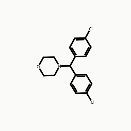 Clc1ccc(C(c2ccc(Cl)cc2)N2CCOCC2)cc1